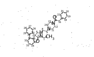 CCNC(=O)C1(CCCCN2CCN(C(=O)Cc3ccccc3)CC2)c2ccccc2-c2ccccc21